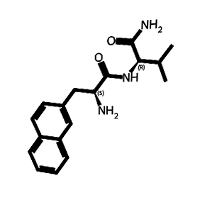 CC(C)[C@@H](NC(=O)[C@@H](N)Cc1ccc2ccccc2c1)C(N)=O